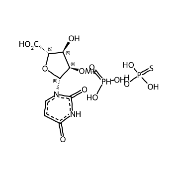 CO[C@@H]1[C@H](O)[C@@H](C(=O)O)O[C@H]1n1ccc(=O)[nH]c1=O.O=[PH](O)O.OP(O)(O)=S